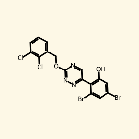 Oc1cc(Br)cc(Br)c1-c1cnc(OCc2cccc(Cl)c2Cl)nn1